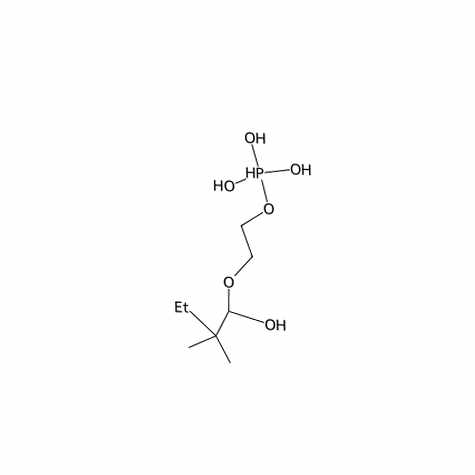 CCC(C)(C)C(O)OCCO[PH](O)(O)O